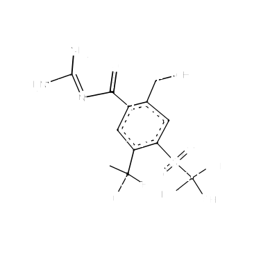 CCc1cc(S(=O)(=O)C(C)(C)C)c(C(F)(F)F)cc1C(=O)N=C(N)N